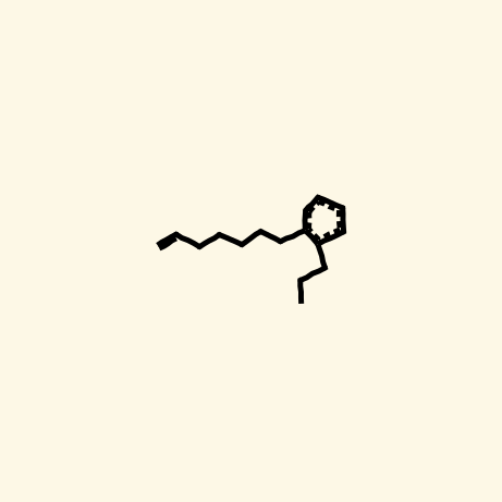 C=CCCCCCc1ccccc1CCC